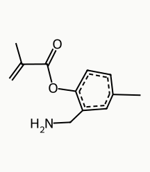 C=C(C)C(=O)Oc1ccc(C)cc1CN